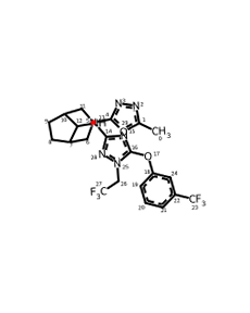 Cc1nnc(N2CC3CCC(C2)C3Nc2nc(Oc3cccc(C(F)(F)F)c3)n(CC(F)(F)F)n2)o1